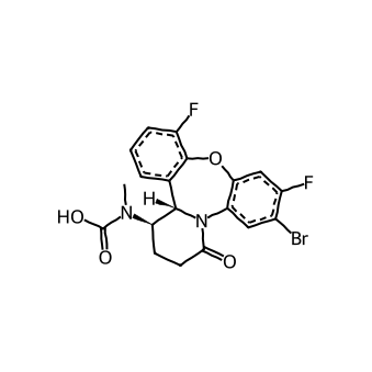 CN(C(=O)O)[C@@H]1CCC(=O)N2c3cc(Br)c(F)cc3Oc3c(F)cccc3[C@@H]12